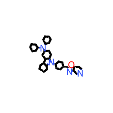 c1ccc(N(c2ccccc2)c2ccc3c(c2)c2ccccc2n3-c2ccc(-c3nc4cnccc4o3)cc2)cc1